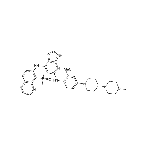 COc1cc(N2CCC(N3CCN(C)CC3)CC2)ccc1Nc1cc(Nc2ccc3nccnc3c2P(C)(C)=O)c2cc[nH]c2n1